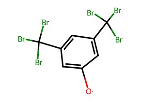 [O]c1cc(C(Br)(Br)Br)cc(C(Br)(Br)Br)c1